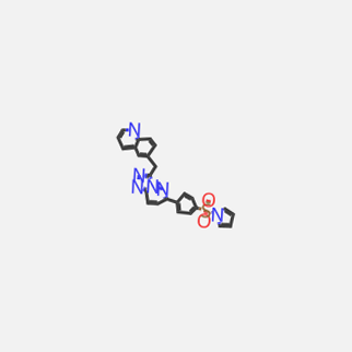 O=S(=O)(c1ccc(-c2ccc3nnc(Cc4ccc5ncccc5c4)n3n2)cc1)n1cccc1